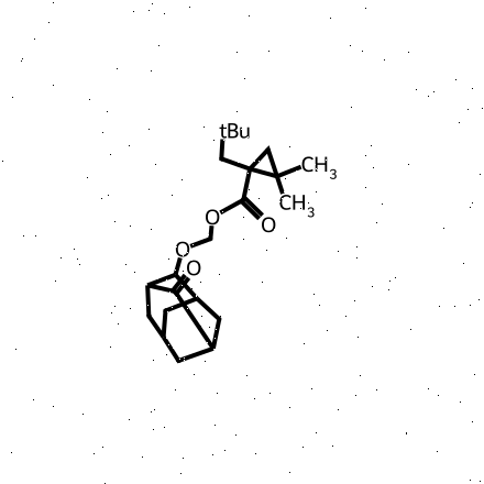 CC(C)(C)CC1(C(=O)OCOC2C3CC4CC(C3)C(=O)C2C4)CC1(C)C